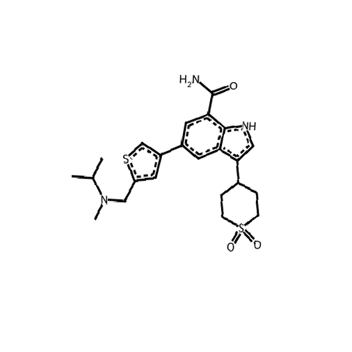 CC(C)N(C)Cc1cc(-c2cc(C(N)=O)c3[nH]cc(C4CCS(=O)(=O)CC4)c3c2)cs1